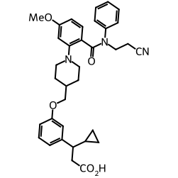 COc1ccc(C(=O)N(CCC#N)c2ccccc2)c(N2CCC(COc3cccc(C(CC(=O)O)C4CC4)c3)CC2)c1